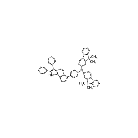 CC1(C)c2ccccc2-c2ccc(N(c3ccc(-c4cccc5c4ccc4c(-c6ccccc6)c(-c6ccccc6)[nH]c45)cc3)c3ccc4c(c3)C(C)(C)c3ccccc3-4)cc21